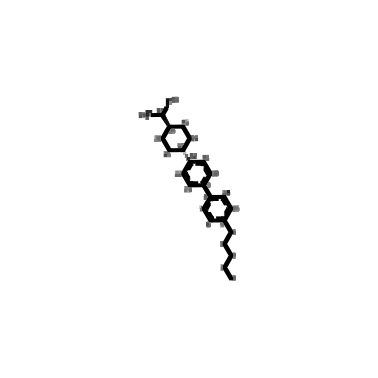 CCCCCc1ccc(-c2ccc([C@H]3CC[C@H](C(F)F)CC3)cc2)cc1